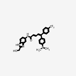 CN(C)c1ccc(/C(=C\C=C\C(=O)Nc2ccc3[nH]c(CO)nc3c2)c2ccc(C(F)(F)F)cc2)cc1